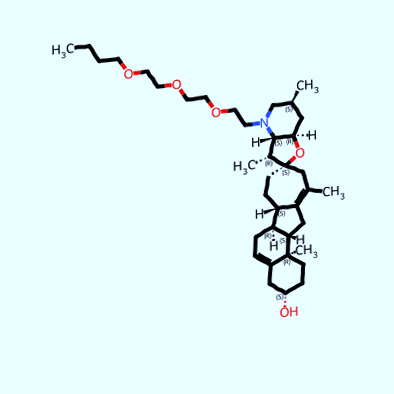 CCCCOCCOCCOCCN1C[C@@H](C)C[C@H]2O[C@]3(CC[C@@H]4C(=C(C)C3)C[C@H]3[C@H]4CC=C4C[C@@H](O)CC[C@@]43C)[C@H](C)[C@@H]21